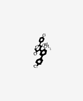 Cc1ccc(-c2ccc(Cl)cc2)cc1C1=C(O)C(c2ccc(Cl)cc2)OCC1=O